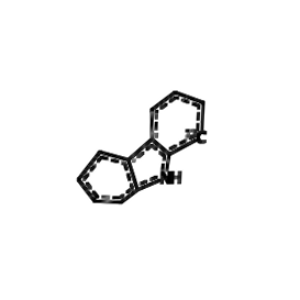 c1ccc2c(c1)[nH]c1[13cH]cccc12